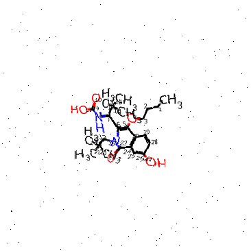 CCCCOc1c(C(NC(=O)O)C(C)(C)C)n(CC(C)(C)C)c(=O)c2cc(O)ccc12